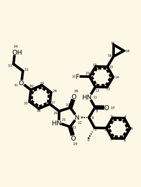 C[C@@H](c1ccccc1)[C@@H](C(=O)Nc1ccc(C2CC2)cc1F)N1C(=O)NC(c2ccc(OCCO)cc2)C1=O